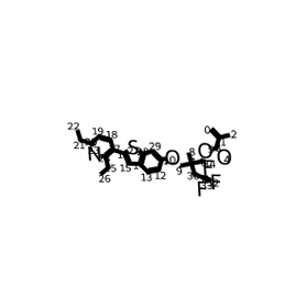 C=C(C)C(=O)OCC(C)(COc1ccc2cc(-c3ccc(CC)nc3CC)sc2c1)CC(F)(F)F